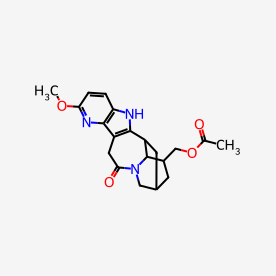 COc1ccc2[nH]c3c(c2n1)CC(=O)N1CC2CC(COC(C)=O)C1C3C2